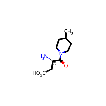 CC1CCN(C(=O)[C@@H](N)CC(=O)O)CC1